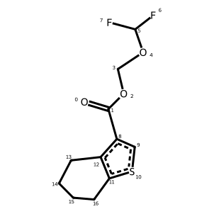 O=C(OCOC(F)F)c1csc2c1CCCC2